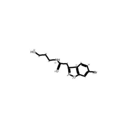 O=C(Cc1noc2cc(Br)ccc12)NCCCO